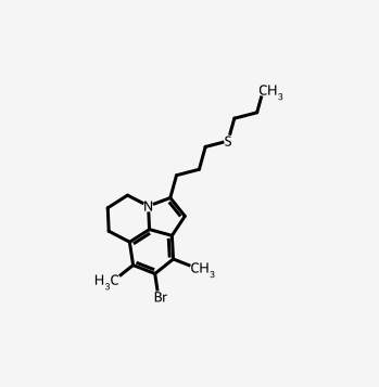 CCCSCCCc1cc2c(C)c(Br)c(C)c3c2n1CCC3